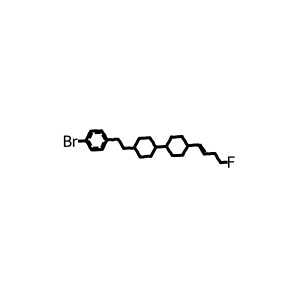 FCCC=CC1CCC(C2CCC(CCc3ccc(Br)cc3)CC2)CC1